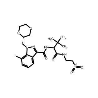 CC(C)(C)C(NC(=O)c1nn(C[C@H]2COCCO2)c2c(F)cccc12)C(=O)NCC[SH](=O)=O